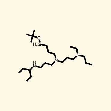 CCCN(CC)CCCN(CCCNC(CC)CC)CCC[SiH2]OC(C)(C)C